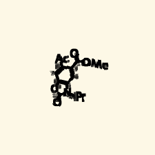 COC(=O)c1cc2c(cc1C(C)=O)oc(=O)n2C(C)C